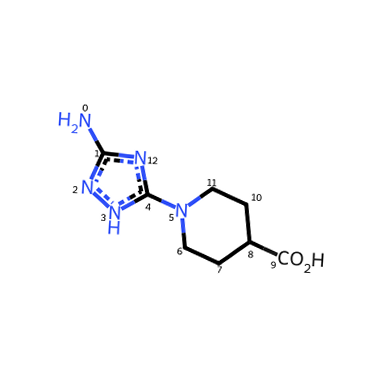 Nc1n[nH]c(N2CCC(C(=O)O)CC2)n1